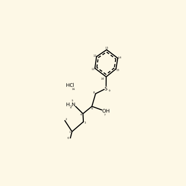 CC(C)CC(N)C(O)CSc1ccccc1.Cl